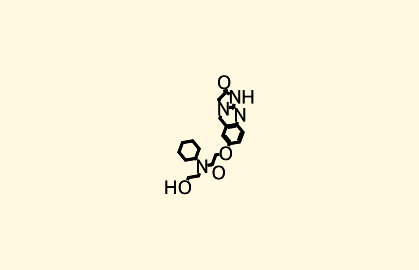 O=C1CN2Cc3cc(OCC(=O)N(CCO)C4CCCCC4)ccc3N=C2N1